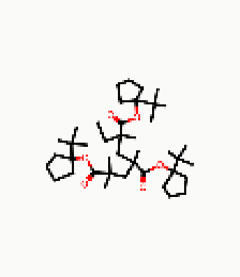 CCC(C)(CC(C)(CC(C)(C)C(=O)OC1(C(C)(C)C)CCCC1)C(=O)OC1(C(C)(C)C)CCCC1)C(=O)OC1(C(C)(C)C)CCCC1